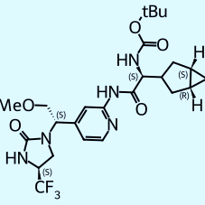 COC[C@H](c1ccnc(NC(=O)[C@@H](NC(=O)OC(C)(C)C)C2C[C@@H]3C[C@@H]3C2)c1)N1C[C@@H](C(F)(F)F)NC1=O